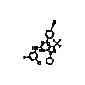 N#Cc1ccc(C(=O)/N=C(/Nc2cc(F)cc(Cl)c2)Nc2cc(C(F)(F)F)nn2C2CCCC2)cc1